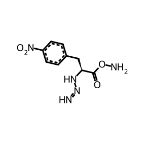 N=NN[C@@H](Cc1ccc([N+](=O)[O-])cc1)C(=O)ON